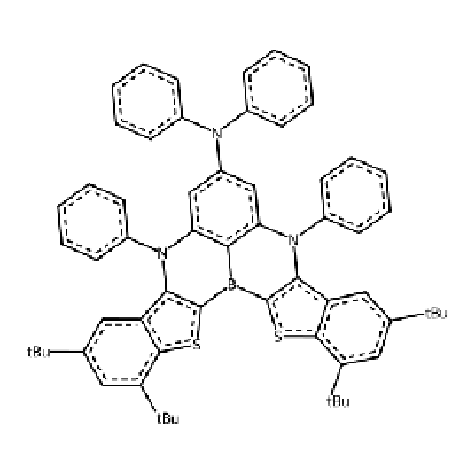 CC(C)(C)c1cc(C(C)(C)C)c2sc3c(c2c1)N(c1ccccc1)c1cc(N(c2ccccc2)c2ccccc2)cc2c1B3c1sc3c(C(C)(C)C)cc(C(C)(C)C)cc3c1N2c1ccccc1